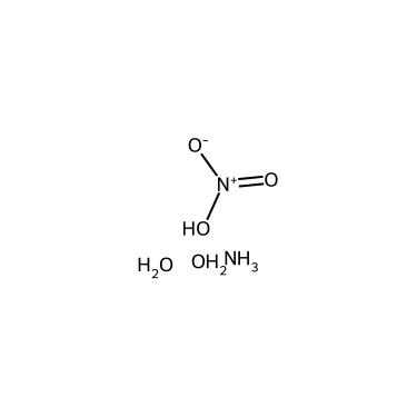 N.O.O.O=[N+]([O-])O